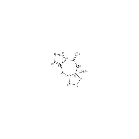 O=C1O[C@H]2CCSC2Cn2cccc21